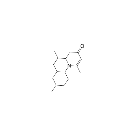 CC1=CC(=O)CC2C(C)CC3CC(C)CCC3N12